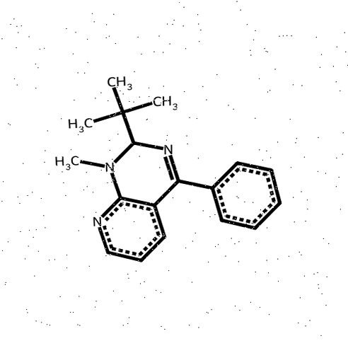 CN1c2ncccc2C(c2ccccc2)=NC1C(C)(C)C